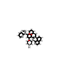 O=C(c1ccc(-n2nnc3cccnc32)cc1F)N(c1nccc2cccc(C=Cc3cccnc3)c12)[C@@H]1CCCNC1